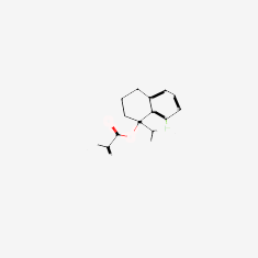 C=C(C)C(=O)OC1(C(C)C)CCCc2cccc(F)c21